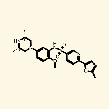 COc1ccc(N2C[C@@H](C)N[C@@H](C)C2)cc1NS(=O)(=O)c1ccc(-c2ccc(C)o2)nc1